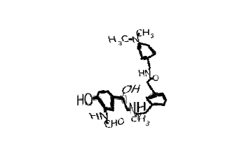 C[C@H](Cc1cccc(CC(=O)NCc2ccc(N(C)C)cc2)c1)NC[C@@H](O)c1ccc(O)c(NC=O)c1